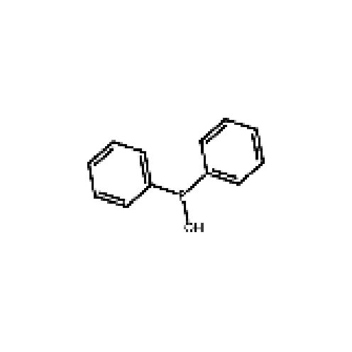 OP(c1ccccc1)c1ccccc1